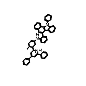 CC1CC=C(Nc2ccccc2-c2cc3ccccc3c3c2c2ccccc2n3-c2ccccc2)CC1C1C=C(c2ccccc2)C=C(c2ccccc2)N1